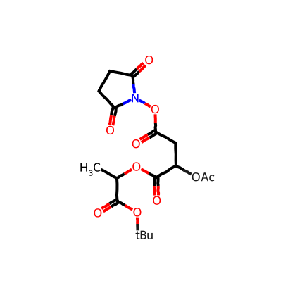 CC(=O)OC(CC(=O)ON1C(=O)CCC1=O)C(=O)OC(C)C(=O)OC(C)(C)C